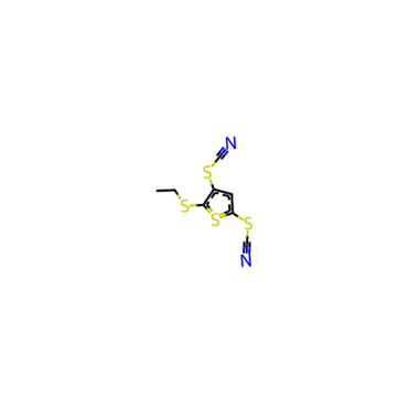 CCSc1sc(SC#N)cc1SC#N